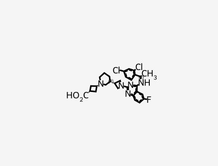 C[C@@H](Nc1nc(N2CC([C@H]3CCCN([C@H]4C[C@@H](C(=O)O)C4)C3)C2)nc2ccc(F)cc12)c1ccc(Cl)cc1Cl